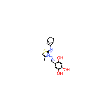 Cc1cs/c(=N\C2CC3CCC2C3)n1/N=C/c1cc(O)c(O)cc1O